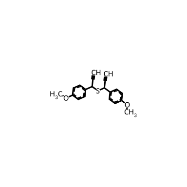 C#CC(SC(C#C)c1ccc(OC)cc1)c1ccc(OC)cc1